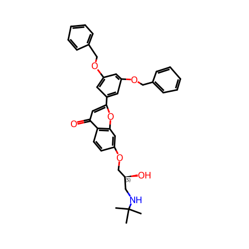 CC(C)(C)NC[C@H](O)COc1ccc2c(=O)cc(-c3cc(OCc4ccccc4)cc(OCc4ccccc4)c3)oc2c1